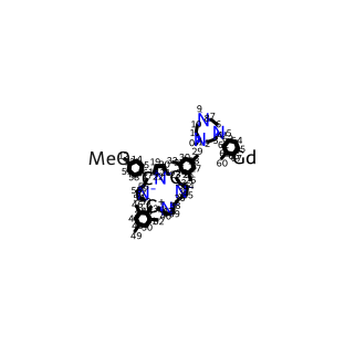 CN1CCN(C)CCN(C)CC1.COc1ccc([C+]2c3ccc([n-]3)[C+](c3c(C)cc(C)cc3C)c3ccc([n-]3)-c3ccc([n-]3)[C+](c3c(C)cc(C)cc3C)c3ccc2[n-]3)cc1.Cc1ccccc1.[Gd]